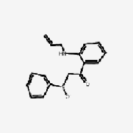 C=CCNc1ccccc1C(=O)C[S+]([O-])c1ccccc1